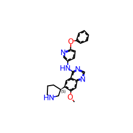 COc1cc2ncnc(Nc3ccc(Oc4ccccc4)nc3)c2cc1[C@@H]1CCCNC1